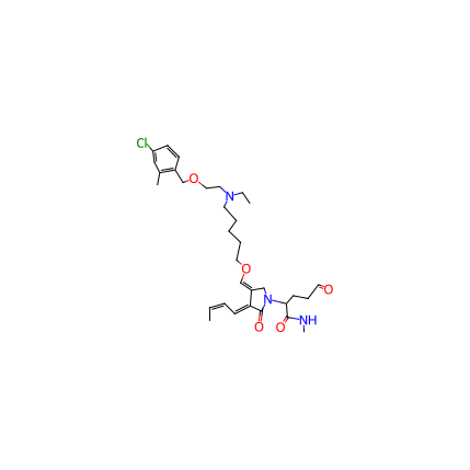 C\C=C/C=C1/C(=O)N(C(CCC=O)C(=O)NC)C/C1=C\OCCCCCN(CC)CCOCc1ccc(Cl)cc1C